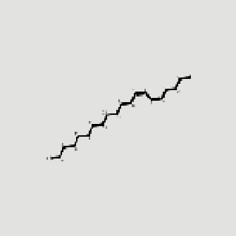 CCCC/C=C\C=C/CCCCCCCCCCCI